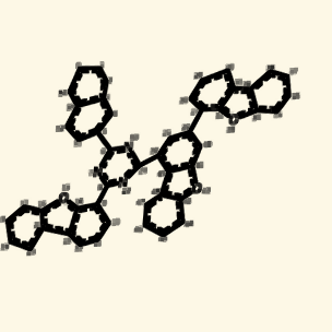 c1ccc2cc(-c3nc(-c4cccc5c4oc4ccccc45)nc(-c4cc(-c5cccc6c5oc5ccccc56)cc5oc6ccccc6c45)n3)ccc2c1